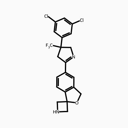 FC(F)(F)C1(c2cc(Cl)cc(Cl)c2)CN=C(c2ccc3c(c2)COC32CNC2)C1